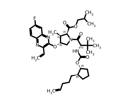 C=CCCC[C@@H]1CCC[C@H]1OC(=O)N[C@H](C(=O)N1C[C@H](Oc2nc3cc(F)ccc3nc2C=C)[C@@H](C)[C@H]1C(=O)OCC(C)C)C(C)(C)C